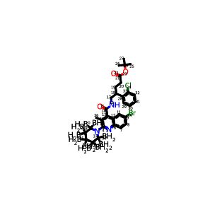 BC1(B)N(c2nc3ccc(Br)cc3c(C(=O)NCC(CCC(=O)OC(C)(C)C)c3ccccc3Cl)c2C)C(B)(B)C(B)(B)C(B)(B)C1(B)B